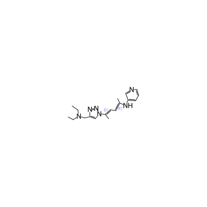 CCN(CC)Cc1cn(/C(C)=C/C=C(\C)Nc2cccnc2)nn1